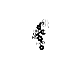 CN(C)Cc1ccc(N/C(=C2\C(=O)Nc3cc(C(=O)NC4CCCC4)ccc32)c2ccccc2)cc1